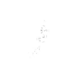 C[C@@H]1CC[C@@]2(OC1)O[C@H]1C[C@H]3[C@@H]4CC=C5C[C@@H](NC(=O)NC67CC8CC(CC(C8)C6)C7)CC[C@]5(C)[C@H]4CC[C@]3(C)[C@H]1[C@@H]2C